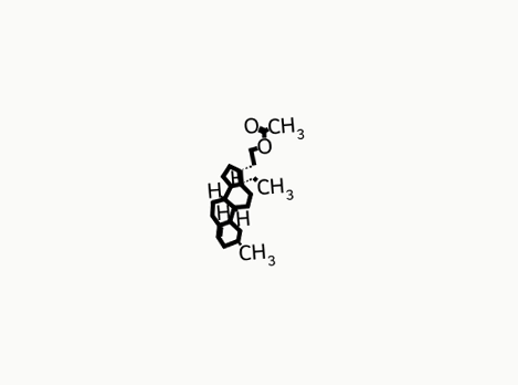 CC[C@]12CC[C@H]3[C@@H](CCC4=CC[C@H](C)C[C@@H]43)[C@@H]1CC[C@@H]2CCOC(C)=O